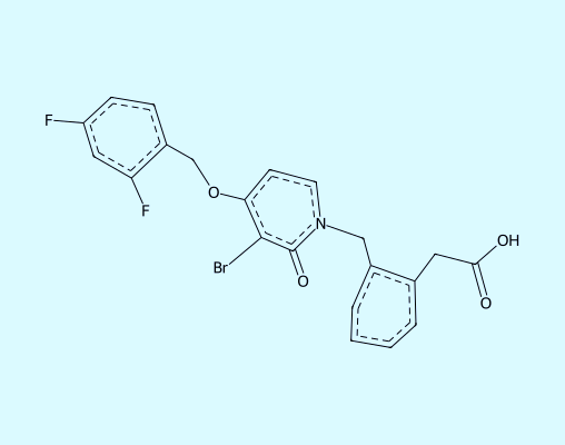 O=C(O)Cc1ccccc1Cn1ccc(OCc2ccc(F)cc2F)c(Br)c1=O